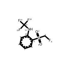 O=S(=O)(CF)c1ccccc1NC(F)(F)F